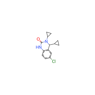 O=C1Nc2ccc(Cl)cc2C(C2CC2)N1C1CC1